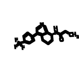 CCC(=O)N[C@@H]1CCCc2c(-c3ccc(C(F)(F)F)cc3)cncc21